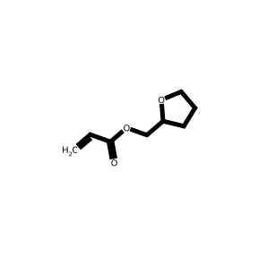 C=[C]C(=O)OCC1CCCO1